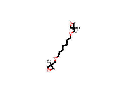 CCC1(COCCCCCCCOCC2(CC)COC2)COC1